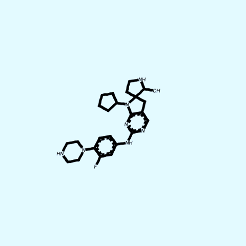 OC1NCCC12Cc1cnc(Nc3ccc(N4CCNCC4)c(F)c3)nc1N2C1CCCC1